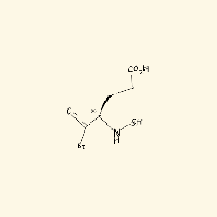 CCC(=O)[C@@H](CCC(=O)O)NS